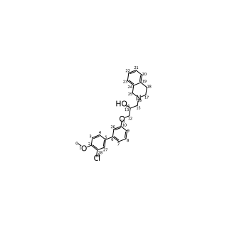 COc1ccc(-c2cccc(OCC(O)CN3CCc4ccccc4C3)c2)cc1Cl